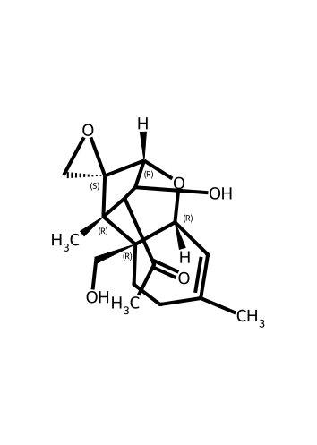 CC(=O)C1C(O)[C@H]2O[C@@H]3C=C(C)CC[C@]3(CO)[C@]1(C)[C@]21CO1